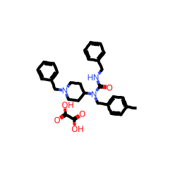 Cc1ccc(CN(C(=O)NCc2ccccc2)C2CCN(Cc3ccccc3)CC2)cc1.O=C(O)C(=O)O